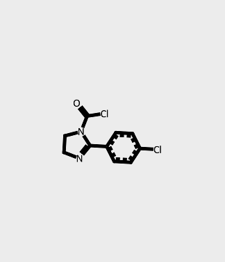 O=C(Cl)N1CCN=C1c1ccc(Cl)cc1